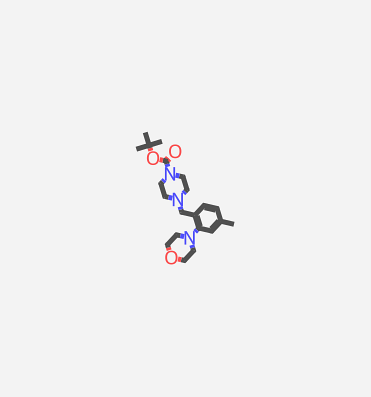 Cc1ccc(CN2CCN(C(=O)OC(C)(C)C)CC2)c(N2CCOCC2)c1